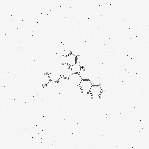 N=C(N)N/N=C/c1c(-c2ccc3ccccc3c2)[nH]c2ccccc12